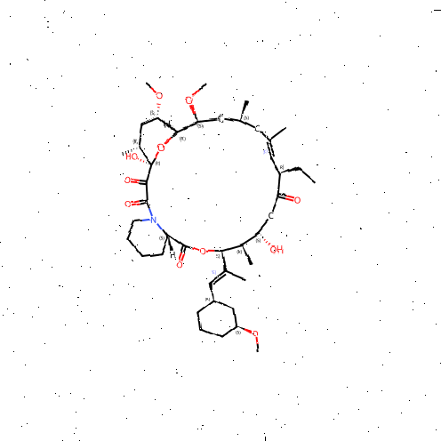 CC[C@@H]1/C=C(\C)C[C@H](C)C[C@H](OC)[C@H]2O[C@@](O)(C(=O)C(=O)N3CCCC[C@H]3C(=O)O[C@H](/C(C)=C/[C@@H]3CCC[C@H](OC)C3)[C@H](C)[C@@H](O)CC1=O)[C@H](C)C[C@@H]2OC